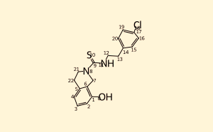 Oc1cccc2c1CN(C(=S)NCCc1ccc(Cl)cc1)CC2